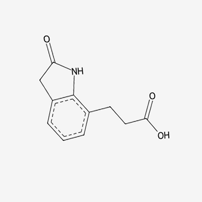 O=C(O)CCc1cccc2c1NC(=O)C2